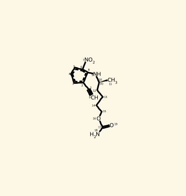 C#Cc1cccc([N+](=O)[O-])c1N[C@@H](C)CCCCOC(N)=O